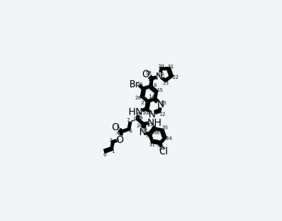 C=CCOC(=O)CC[C@H](Nc1ncnc2cc(C(=O)N3CC=CC3)c(Br)cc12)c1nc2cc(Cl)ccc2[nH]1